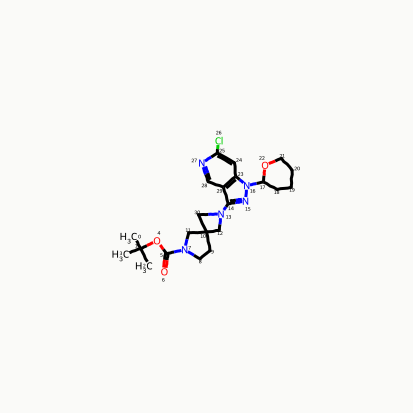 CC(C)(C)OC(=O)N1CCC2(C1)CN(c1nn(C3CCCCO3)c3cc(Cl)ncc13)C2